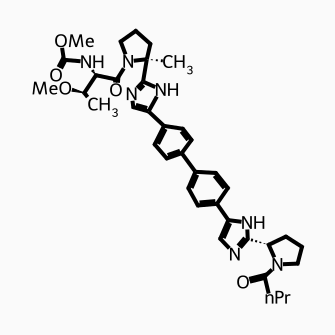 CCCC(=O)N1CCC[C@H]1c1ncc(-c2ccc(-c3ccc(-c4cnc([C@]5(C)CCCN5C(=O)[C@@H](NC(=O)OC)[C@@H](C)OC)[nH]4)cc3)cc2)[nH]1